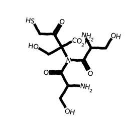 NC(CO)C(=O)N(C(=O)C(N)CO)C(CO)(C(=O)O)C(=O)CS